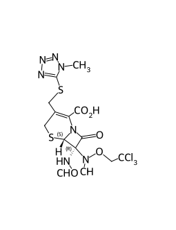 [CH]N(OCC(Cl)(Cl)Cl)[C@]1(NC=O)C(=O)N2C(C(=O)O)=C(CSc3nnnn3C)CS[C@H]21